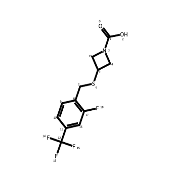 O=C(O)N1CC(SCc2ccc(C(F)(F)F)cc2F)C1